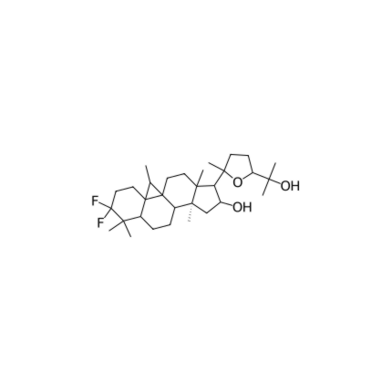 CC1C23CCC(F)(F)C(C)(C)C2CCC2C13CCC1(C)C(C3(C)CCC(C(C)(C)O)O3)C(O)C[C@@]21C